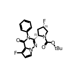 CC(C)(C)OC(=O)N1C[C@@H](F)C[C@H]1c1nn2ccc(F)c2c(=O)n1-c1ccccc1